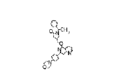 CC(c1ccccc1)N1CC(COc2nc(-c3ccc(N4CCOCC4)cc3)cc3ncccc23)CC1=O